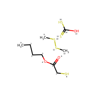 CCCCOC(=O)CS.CSSC.OC(=S)S